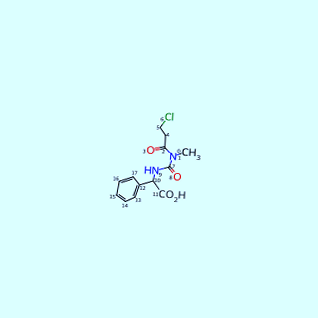 CN(C(=O)CCCl)C(=O)NC(C(=O)O)c1ccccc1